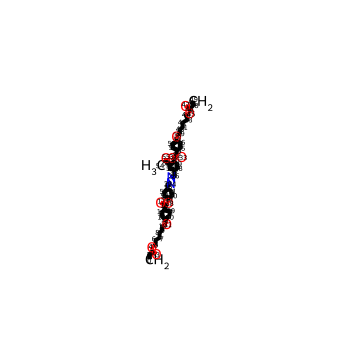 C=CC(=O)OCCCCCCOc1ccc(C(=O)Oc2ccc(/C=N/N=C/c3ccc(OC(=O)c4ccc(OCCCCCCOC(=O)C=C)cc4)c(C(C)=O)c3)cc2)cc1